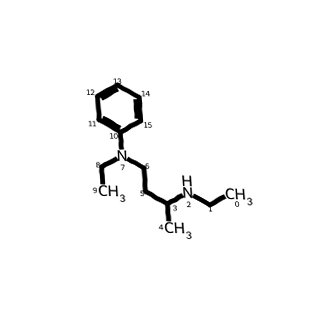 CCNC(C)CCN(CC)c1ccccc1